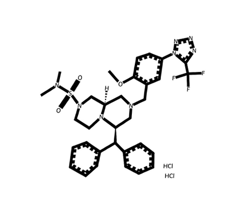 COc1ccc(-n2nnnc2C(F)(F)F)cc1CN1C[C@@H]2CN(S(=O)(=O)N(C)C)CCN2[C@H](C(c2ccccc2)c2ccccc2)C1.Cl.Cl